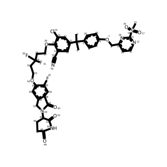 CC(C)(c1ccc(OCc2ccnc(S(C)(=O)=O)n2)cc1)c1cc(Cl)c(OCCC(F)(F)CCOc2cc3c(cc2F)C(=O)N(C2CCC(=O)NC2=O)C3)c(C#N)c1